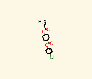 CC=CC(=O)O[C@H]1CC[C@H](C(=O)Oc2ccc(Cl)cc2)CC1